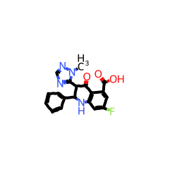 Cn1ncnc1C1C(=O)c2c(cc(F)cc2C(=O)O)NC1c1ccccc1